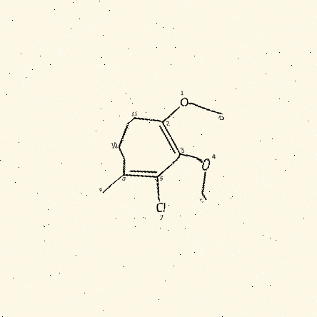 COC1=C(OC)C(Cl)=C(C)CC1